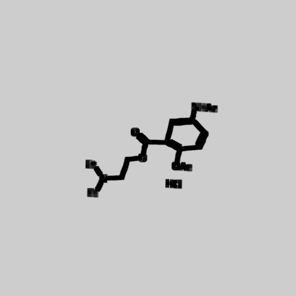 CCN(CC)CCOC(=O)c1cc(NC(C)=O)ccc1OC(C)=O.Cl